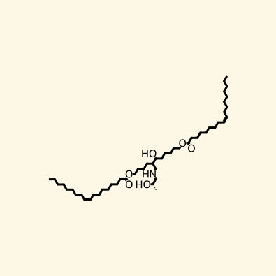 CCCCCCCC/C=C\CCCCCCCC(=O)OCCCCCC(O)C(CCCCOC(=O)CCCCCCC/C=C\CCCCCCCC)CNC[C@H](C)O